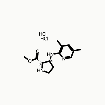 COC(=O)[C@H]1NCC[C@@H]1Nc1ncc(C)cc1C.Cl.Cl